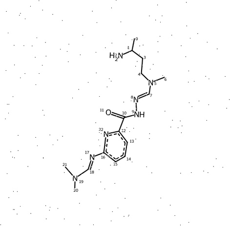 CC(N)CCN(C)/C=N/NC(=O)c1cccc(/N=C/N(C)C)n1